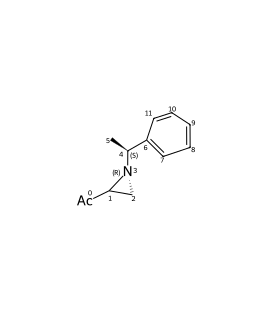 CC(=O)C1C[N@@]1[C@@H](C)c1ccccc1